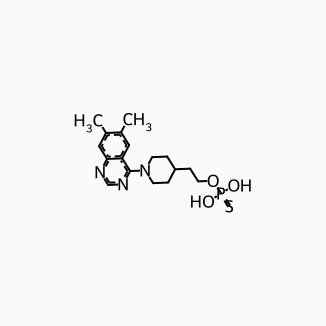 Cc1cc2ncnc(N3CCC(CCOP(O)(O)=S)CC3)c2cc1C